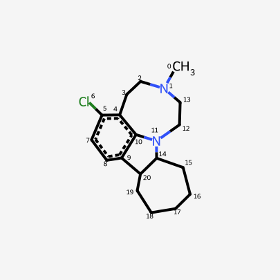 CN1CCc2c(Cl)ccc3c2N(CC1)C1CCCCCC31